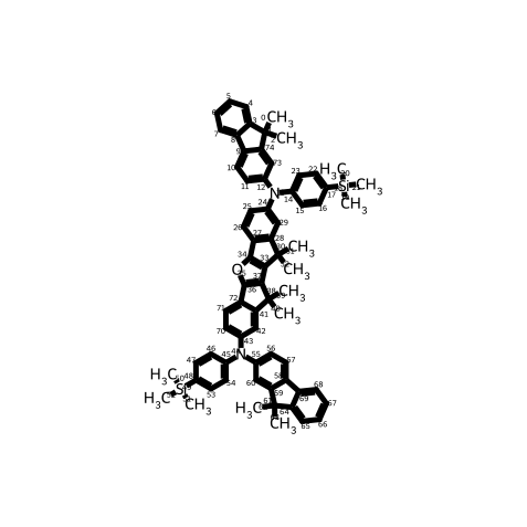 CC1(C)c2ccccc2-c2ccc(N(c3ccc([Si](C)(C)C)cc3)c3ccc4c(c3)C(C)(C)c3c-4oc4c3C(C)(C)c3cc(N(c5ccc([Si](C)(C)C)cc5)c5ccc6c(c5)C(C)(C)c5ccccc5-6)ccc3-4)cc21